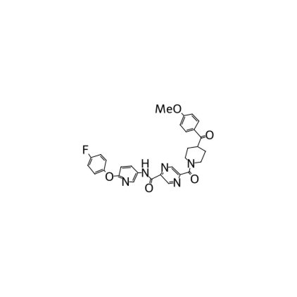 COc1ccc(C(=O)C2CCN(C(=O)c3cnc(C(=O)Nc4ccc(Oc5ccc(F)cc5)nc4)cn3)CC2)cc1